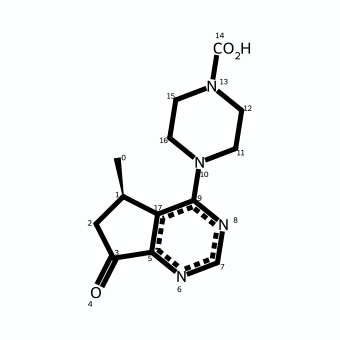 C[C@@H]1CC(=O)c2ncnc(N3CCN(C(=O)O)CC3)c21